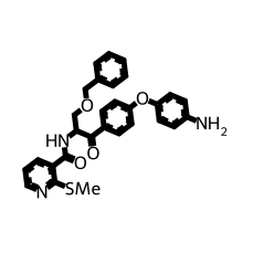 CSc1ncccc1C(=O)NC(COCc1ccccc1)C(=O)c1ccc(Oc2ccc(N)cc2)cc1